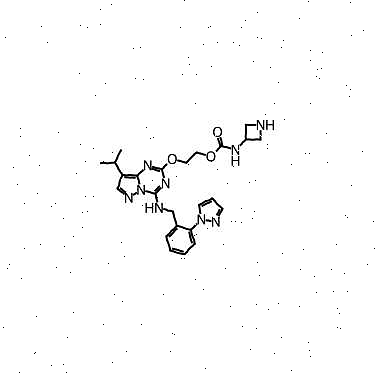 CC(C)c1cnn2c(NCc3ccccc3-n3cccn3)nc(OCCOC(=O)NC3CNC3)nc12